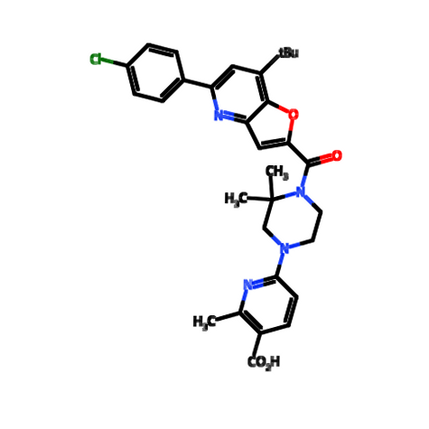 Cc1nc(N2CCN(C(=O)c3cc4nc(-c5ccc(Cl)cc5)cc(C(C)(C)C)c4o3)C(C)(C)C2)ccc1C(=O)O